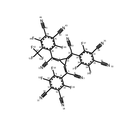 N#CC(=C1C(=C(/C#N)c2c(F)c(F)c(C#N)c(C#N)c2F)/C1=C(/C#N)c1c(F)c(F)c(C#N)c(C#N)c1F)c1c(F)c(C#N)c(C#N)c(F)c1C(F)(F)F